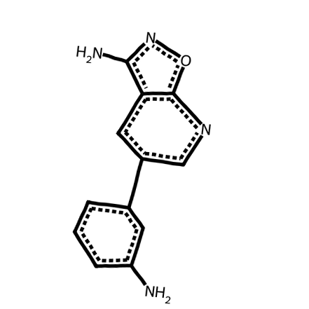 Nc1cccc(-c2cnc3onc(N)c3c2)c1